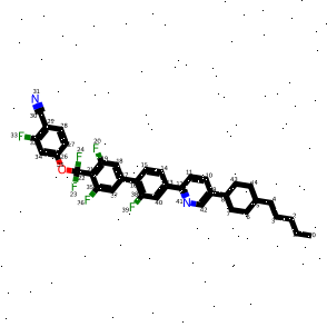 CCCCCC1CCC(c2ccc(-c3ccc(-c4cc(F)c(C(F)(F)Oc5ccc(C#N)c(F)c5)c(F)c4)c(F)c3)nc2)CC1